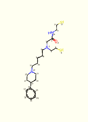 O=C(CN(CCS)CCCCCN1CCC(c2ccccc2)CC1)NCCS